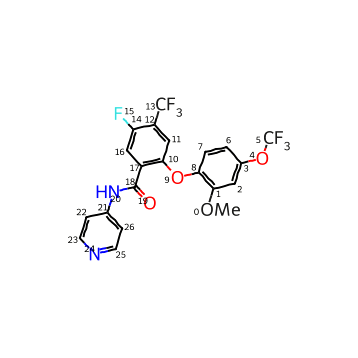 COc1cc(OC(F)(F)F)ccc1Oc1cc(C(F)(F)F)c(F)cc1C(=O)Nc1ccncc1